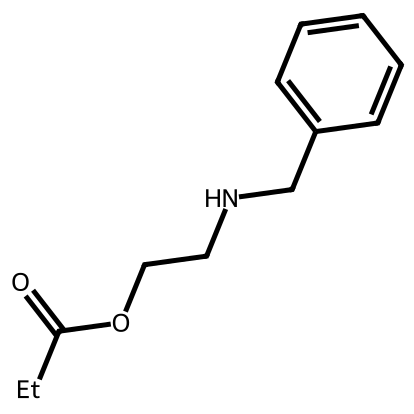 CCC(=O)OCCNCc1ccccc1